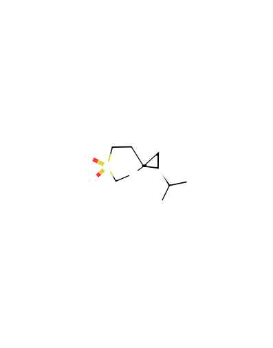 CC(C)[C@@H]1CC12CCS(=O)(=O)CC2